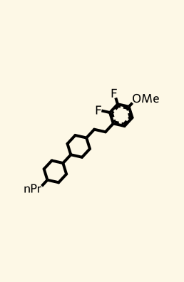 CCCC1CCC(C2CCC(CCc3ccc(OC)c(F)c3F)CC2)CC1